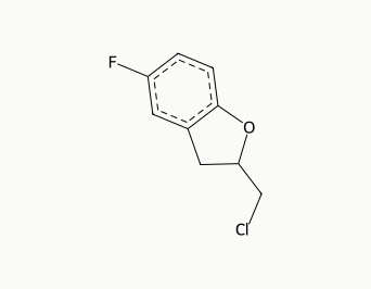 Fc1ccc2c(c1)CC(CCl)O2